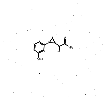 COc1cccc(C2CC2C(C)C(N)=O)c1